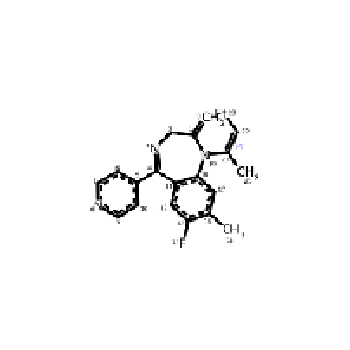 C=C1CN=C(c2ccncc2)c2cc(F)c(C)cc2N1/C(C)=C\CC